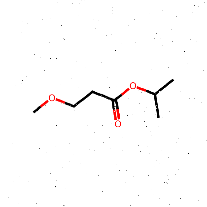 COCCC(=O)OC(C)C